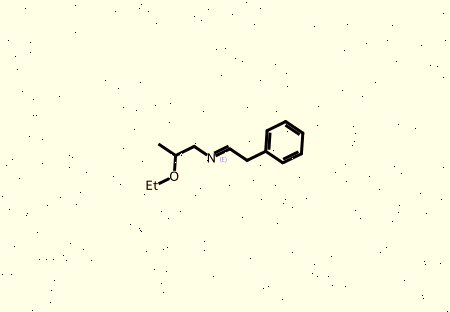 CCOC(C)C/N=C/Cc1ccccc1